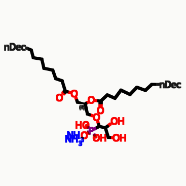 CCCCCCCCCCCCCCCCCC(=O)OC[C@H](COC(C(O)CO)P(=O)(O)O)OC(=O)CCCCCCCCCCCCCCCCC.N.N